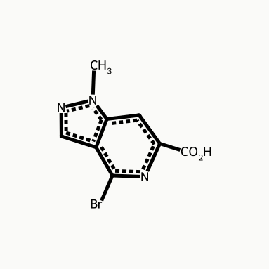 Cn1ncc2c(Br)nc(C(=O)O)cc21